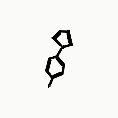 Fc1ccc(-n2[c]cnc2)cc1